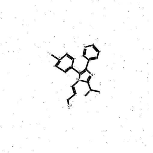 CC(C)c1nc(-c2cccnc2)c(-c2ccc(F)cc2)n1C=CCO